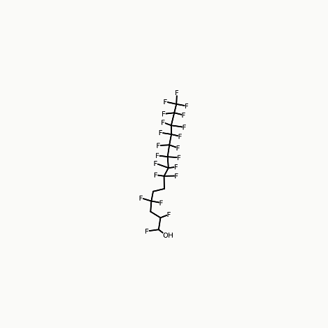 OC(F)C(F)CC(F)(F)CCC(F)(F)C(F)(F)C(F)(F)C(F)(F)C(F)(F)C(F)(F)C(F)(F)C(F)(F)F